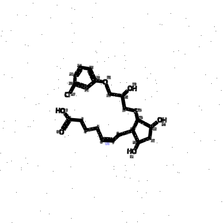 O=C(O)CCC/C=C\CC1C(O)CC(O)C1SCC(O)COc1cccc(Cl)c1